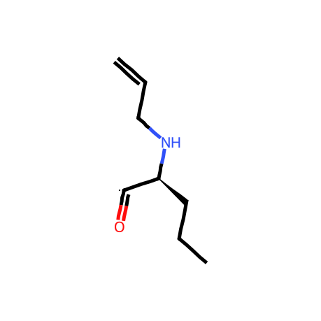 C=CCN[C@H]([C]=O)CCC